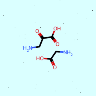 NCC(=O)C(=O)O.NCC(=O)O